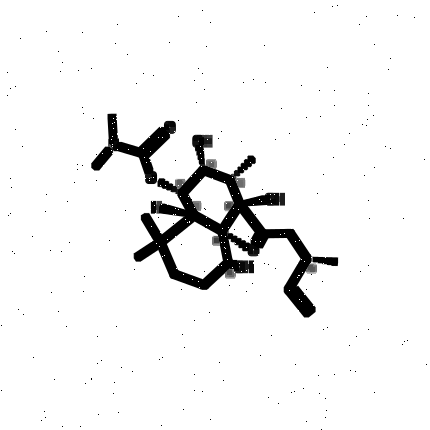 C=C[C@@H](C)CC(=O)[C@@]1(O)[C@@H](C)[C@@H](O)[C@@H](OC(=O)N(C)C)[C@H]2C(C)(C)CC[C@H](O)[C@@]21C